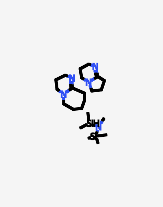 C1CCC2=NCCCN2CC1.C1CN=C2CCCN2C1.CN([SiH](C)C)[Si](C)(C)C